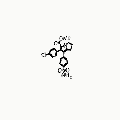 COC(=O)c1c(-c2ccc(Cl)cc2)c(-c2ccc(S(N)(=O)=O)cc2)c2n1CCC2